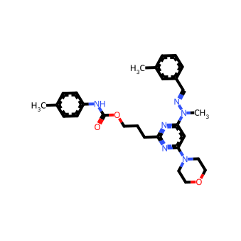 Cc1ccc(NC(=O)OCCCc2nc(N3CCOCC3)cc(N(C)/N=C/c3cccc(C)c3)n2)cc1